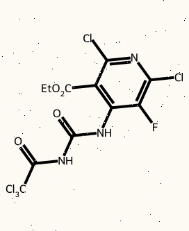 CCOC(=O)c1c(Cl)nc(Cl)c(F)c1NC(=O)NC(=O)C(Cl)(Cl)Cl